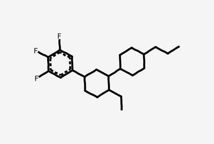 CCCC1CCC(C2CC(c3cc(F)c(F)c(F)c3)CCC2CC)CC1